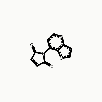 O=C1C=CC(=O)N1c1ccnc2ccsc12